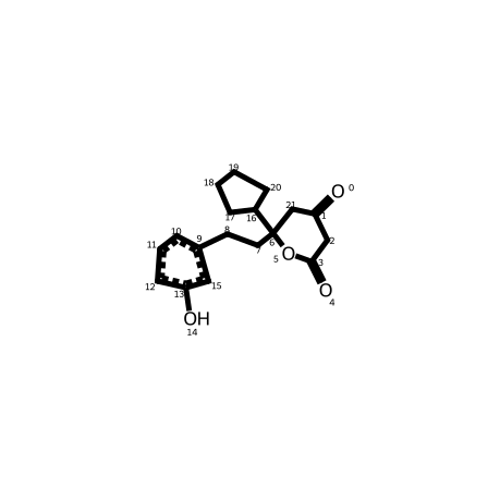 O=C1CC(=O)OC(CCc2cccc(O)c2)(C2CCCC2)C1